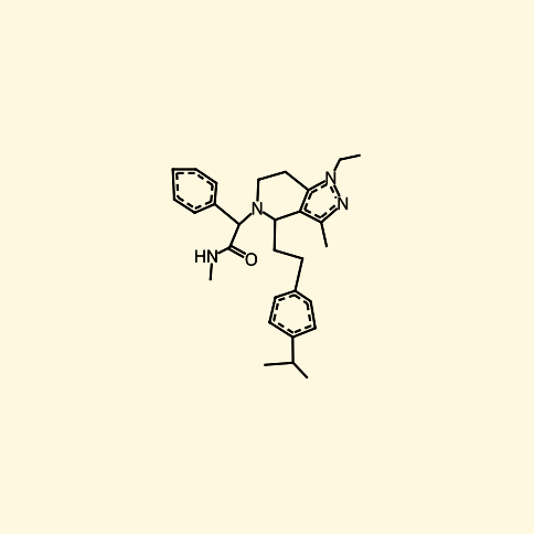 CCn1nc(C)c2c1CCN(C(C(=O)NC)c1ccccc1)C2CCc1ccc(C(C)C)cc1